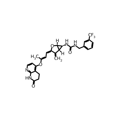 C=C1/C(=C\C=C(/C)Oc2ccnc3c2CCC(=O)N3)O[C@@H]2[C@@H](NC(=O)NCc3cccc(C(F)(F)F)c3)[C@H]12